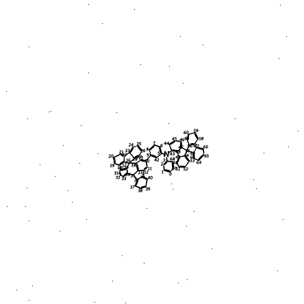 c1ccc(N(c2cccc(-c3cc4c5c(c3)C3(c6ccccc6-c6ccccc63)c3ccccc3C5c3ccccc3-4)c2)c2cccc3c2-c2ccccc2C3(c2ccccc2)c2ccccc2)cc1